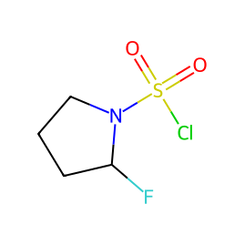 O=S(=O)(Cl)N1CCCC1F